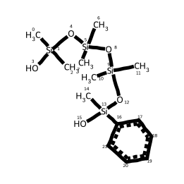 C[Si](C)(O)O[Si](C)(C)O[Si](C)(C)O[Si](C)(O)c1ccccc1